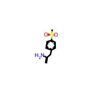 C=C(N)Cc1ccc(S(C)(=O)=O)cc1